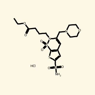 CCOC(=O)CCCN1C(CN2CCOCC2)=Cc2cc(S(N)(=O)=O)sc2S1(=O)=O.Cl